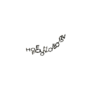 O=C(NCC1CCC(n2cc3ccc(-c4ccns4)cc3n2)CC1)c1cc(F)c(O)c(F)c1